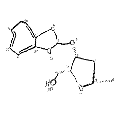 C[C@H]1C[C@@H](OC2Oc3ccccc3O2)[C@@H](CO)O1